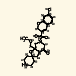 COCC12CN(S(=O)(=O)C3=Cc4ccc(Cl)cc4OC3)CC(=O)N1CC1(CCNCC1)O2